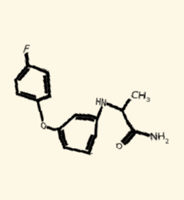 CC(Nc1c[c]cc(Oc2ccc(F)cc2)c1)C(N)=O